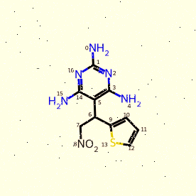 Nc1nc(N)c(C(C[N+](=O)[O-])c2cccs2)c(N)n1